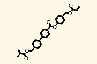 C=CC(=O)OCc1ccc(OC(=O)c2ccc(-c3ccc(COC(=O)C(=C)C)cc3)cc2)cc1